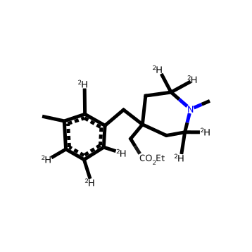 [2H]c1c([2H])c(C)c([2H])c(CC2(CC(=O)OCC)CC([2H])([2H])N(C)C([2H])([2H])C2)c1[2H]